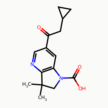 CC1(C)CN(C(=O)O)c2cc(C(=O)CC3CC3)cnc21